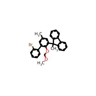 COCOc1c(-c2ccccc2Br)cc(C)cc1C1(C)c2ccccc2-c2ccccc21